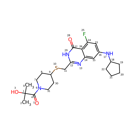 CC(C)(O)C(=O)N1CCC(SCc2nc3cc(NC4CCCC4)cc(F)c3c(=O)[nH]2)CC1